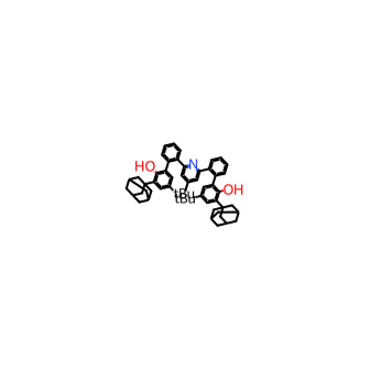 Cc1cc(-c2ccccc2-c2cc(C(C)(C)C)cc(C34CC5CC(CC(C5)C3)C4)c2O)nc(-c2ccccc2-c2cc(C(C)(C)C)cc(C34CC5CC(CC(C5)C3)C4)c2O)c1